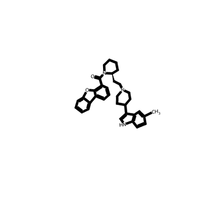 Cc1ccc2[nH]cc(C3CCN(CC[C@@H]4CCCCN4C(=O)c4cccc5c4oc4ccccc45)CC3)c2c1